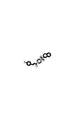 O=C(/C=C/c1ccc(F)cc1)N1CCN(S(=O)(=O)C2=Cc3ccccc3CC2)CC1